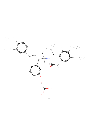 CCC(C(=O)N1CCCC[C@@]1(C(=O)O)C(CCc1ccc(OC)c(OC)c1)c1cccc(OCC(=O)OC(C)(C)C)c1)c1cc(OC)c(OC)c(OC)c1